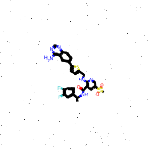 CC(NC(=O)c1cc(S(C)(=O)=O)cnc1NCc1ccc(-c2ccc3ncnc(N)c3c2)s1)c1ccc(F)c(F)c1